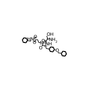 N[C@@H](CO)C(=O)N[C@@H](Cc1ccc(OCc2ccccc2)cc1)C(=O)NCCS(=O)(=O)NCc1ccccc1